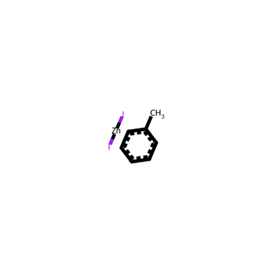 Cc1cc[c]cc1.[I][Zn][I]